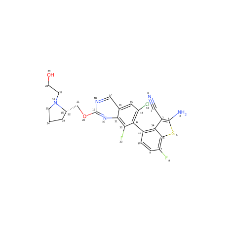 N#Cc1c(N)sc2c(F)ccc(-c3c(Cl)cc4cnc(OC[C@@H]5CCCN5CCO)nc4c3F)c12